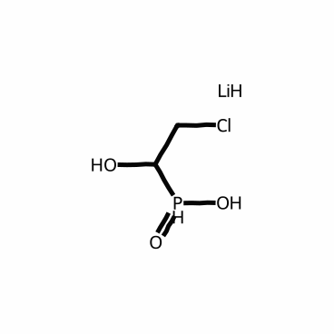 O=[PH](O)C(O)CCl.[LiH]